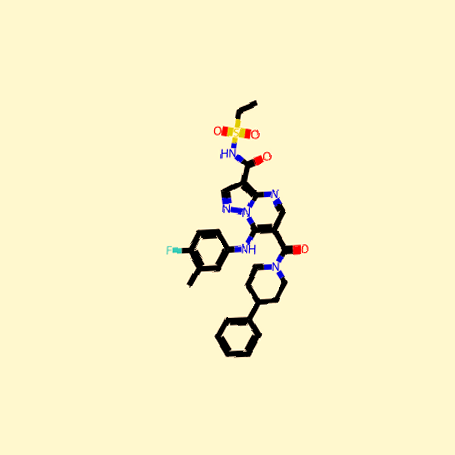 CCS(=O)(=O)NC(=O)c1cnn2c(Nc3ccc(F)c(C)c3)c(C(=O)N3CCC(c4ccccc4)CC3)cnc12